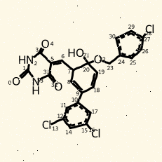 O=C1NC(=O)C(=CC2C=C(c3cc(Cl)cc(Cl)c3)C=CC2(O)OCc2ccc(Cl)cc2)C(=O)N1